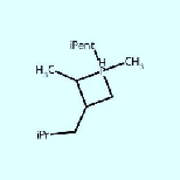 CCCC(C)[PH]1(C)CC(CC(C)C)C1C